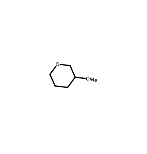 [CH2]OC1CCCOC1